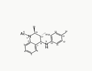 CC(=O)N1c2ccccc2C(Nc2ccc(C)cc2)[C@@H](C)[C@@H]1C